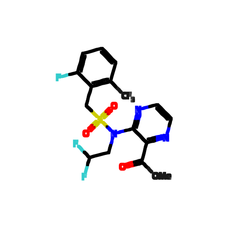 COC(=O)c1nccnc1N(CC(F)F)S(=O)(=O)Cc1c(F)cccc1C(F)(F)F